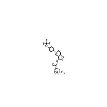 CCN(CC)C(=O)COc1noc2ccc(-c3ccc(OC(F)(F)F)cc3)cc12